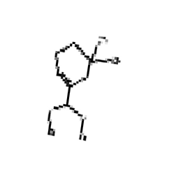 CCOC(OCC)C1=CCCC(C#N)(C#N)C1